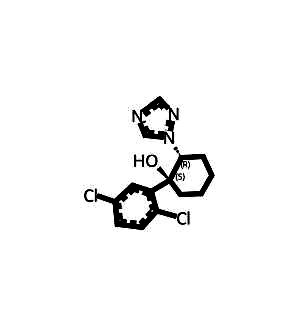 O[C@]1(c2cc(Cl)ccc2Cl)CCCC[C@H]1n1cncn1